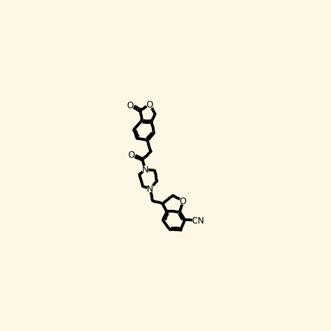 N#Cc1cccc2c1OCC2CN1CCN(C(=O)Cc2ccc3c(c2)COC3=O)CC1